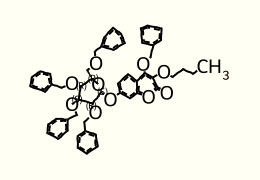 CCCCOc1c(OCc2ccccc2)c2ccc(O[C@@H]3O[C@H](COCc4ccccc4)[C@@H](OCc4ccccc4)[C@H](OCc4ccccc4)[C@H]3OCc3ccccc3)cc2oc1=O